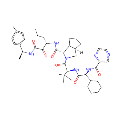 CCC[C@H](NC(=O)[C@@H]1C2CCC[C@H]2CN1C(=O)[C@@H](NC(=O)[C@@H](NC(=O)c1cnccn1)C1CCCCC1)C(C)(C)C)C(=O)C(=O)N[C@@H](C)c1ccc(C)cc1